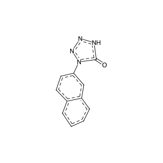 O=c1[nH]nnn1-c1ccc2ccccc2c1